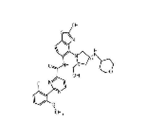 COc1cccc(F)c1-c1nccc(C(=O)Nc2ccc3sc(C)nc3c2N2C[C@H](NC3CCOCC3)C[C@H]2CO)n1